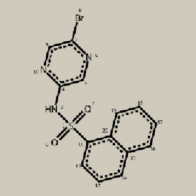 O=S(=O)(Nc1cnc(Br)cn1)c1cccc2ccccc12